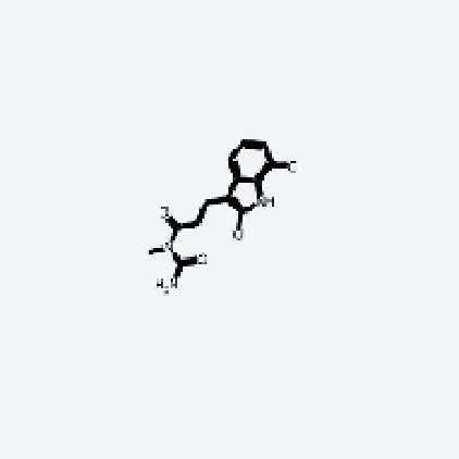 CN(C(N)=O)C(=O)CCc1c(Cl)[nH]c2c(Cl)cccc12